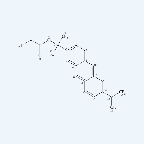 O=C(CF)OC(c1ccc2cc3cc(C(C(F)(F)F)C(F)(F)F)ccc3cc2c1)(C(F)(F)F)C(F)(F)F